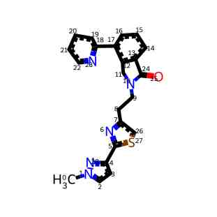 Cn1ccc(-c2nc(CCN3Cc4c(cccc4-c4ccccn4)C3=O)cs2)n1